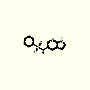 O=S(=O)(Nc1cnc2[nH]ccc2c1)c1ccccc1